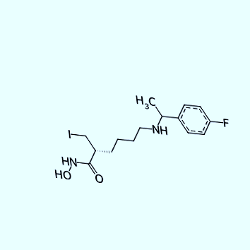 CC(NCCCC[C@@H](CI)C(=O)NO)c1ccc(F)cc1